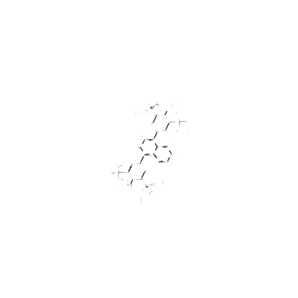 CC(C)(C)C1=CC(=c2ccc(=C3C=C(C(C)(C)C)C(=O)C(C(C)(C)C)=C3)c3ccccc23)C=C(C(C)(C)C)C1=O